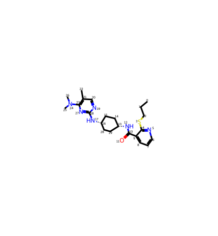 CCCSc1ncccc1C(=O)N[C@H]1CC[C@@H](Nc2ncc(C)c(N(C)C)n2)CC1